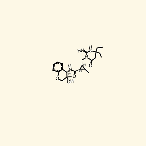 CCC1(CC)CC(=O)N(C[C@@H]2C(C)[C@H]2C(=O)N[C@@H]2c3ccccc3OCC2(C)O)C(=N)N1